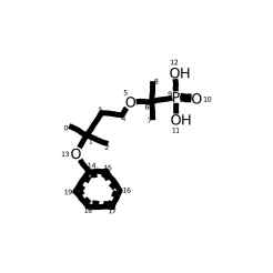 CC(C)(CCOC(C)(C)P(=O)(O)O)Oc1ccccc1